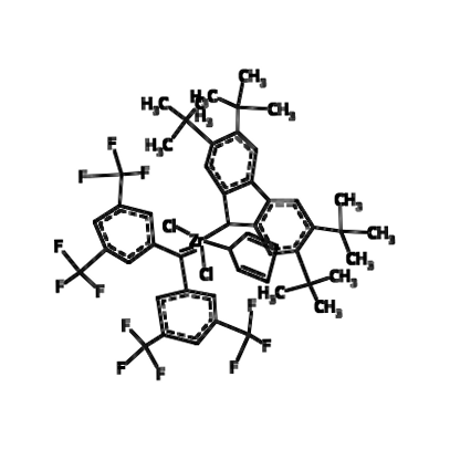 CC(C)(C)c1cc2c(cc1C(C)(C)C)[CH]([Zr]([Cl])([Cl])(=[C](c1cc(C(F)(F)F)cc(C(F)(F)F)c1)c1cc(C(F)(F)F)cc(C(F)(F)F)c1)[CH]1C=CC=C1)c1cc(C(C)(C)C)c(C(C)(C)C)cc1-2